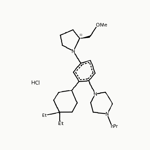 CCCN1CCN(c2ccc(N3CCC[C@H]3COC)cc2C2CCC(CC)(CC)CC2)CC1.Cl